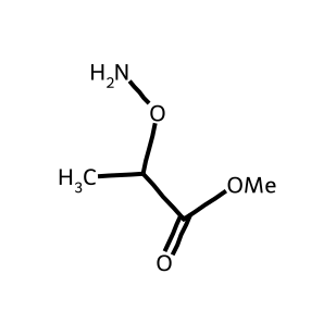 COC(=O)C(C)ON